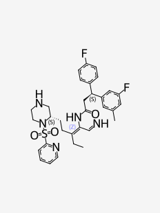 CC/C(CC[C@H]1CNCCN1S(=O)(=O)c1ccccn1)=C(\C=N)NC(=O)C[C@@H](c1ccc(F)cc1)c1cc(C)cc(F)c1